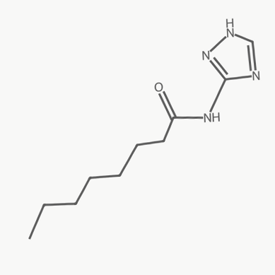 CCCCCCCC(=O)Nc1nc[nH]n1